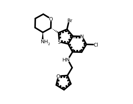 N[C@H]1CCCO[C@@H]1c1sc2c(NCc3ccco3)cc(Cl)nc2c1Br